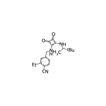 CCc1cc(CNc2c(NC(C)C(C)(C)C)c(=O)c2=O)ccc1C#N